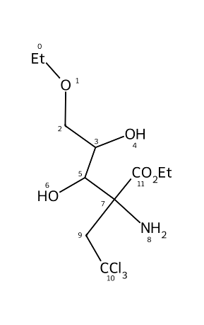 CCOCC(O)C(O)C(N)(CC(Cl)(Cl)Cl)C(=O)OCC